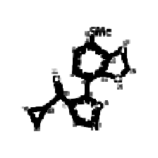 CSc1ccc(-c2oncc2C(=O)C2CC2)c2c1OCO2